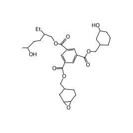 CCC(CCC(C)O)COC(=O)c1cc(C(=O)OCC2CCCC(O)C2)cc(C(=O)OCC2CCC3OC3C2)c1